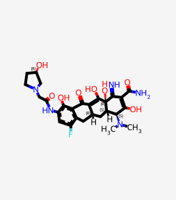 CN(C)[C@@H]1C(O)=C(C(N)=O)C(=N)[C@@]2(O)C(O)=C3C(=O)c4c(O)c(NC(=O)CN5CC[C@@H](O)C5)cc(F)c4C[C@H]3C[C@@H]12